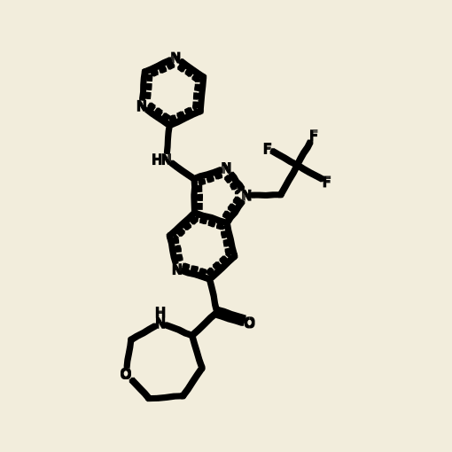 O=C(c1cc2c(cn1)c(Nc1ccncn1)nn2CC(F)(F)F)C1CCCOCN1